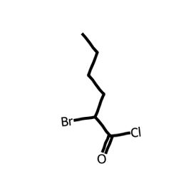 CCCCC(Br)C(=O)Cl